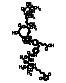 CCC(O)C(C)[C@H]1O[C@@H]1CC(C)(O)/C=C/C=C(\C)[C@H]1OC(=O)C[C@H](O)CC[C@@](C)(OC)[C@@H](OC(=O)N2CC[N+](CCCC(=O)O)(Cc3ccc(NC(=O)C(C)NC(=O)C(NC(=O)CCCCCN4C(=O)C=CC4=O)C(C)C)cc3)CC2)/C=C/[C@@H]1C